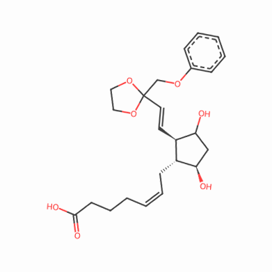 O=C(O)CCC/C=C\C[C@H]1[C@H](O)CC(O)[C@@H]1/C=C/C1(COc2ccccc2)OCCO1